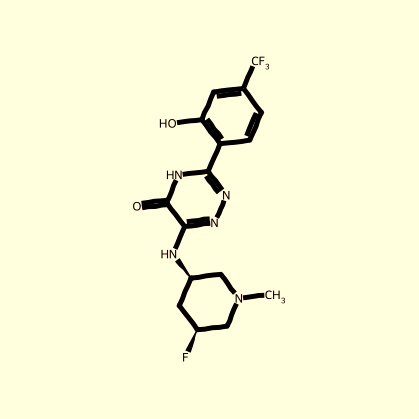 CN1C[C@@H](F)C[C@@H](Nc2nnc(-c3ccc(C(F)(F)F)cc3O)[nH]c2=O)C1